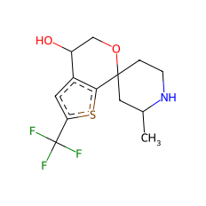 CC1CC2(CCN1)OCC(O)c1cc(C(F)(F)F)sc12